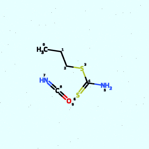 CCCSC(N)=S.N=C=O